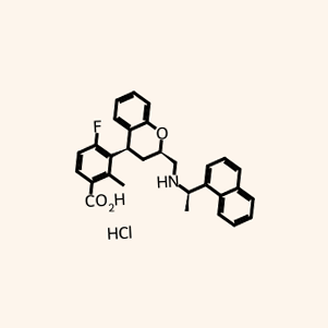 Cc1c(C(=O)O)ccc(F)c1[C@@H]1C[C@H](CN[C@H](C)c2cccc3ccccc23)Oc2ccccc21.Cl